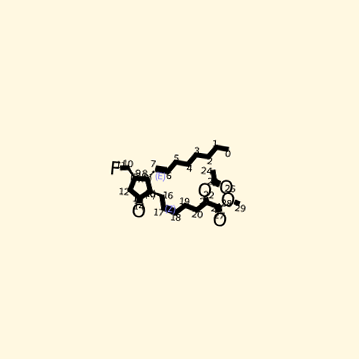 CCCCCC/C=C/[C@H]1[C@H](CF)CC(=O)[C@@H]1C/C=C\CCC(OC(C)=O)C(=O)OC